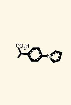 CC(C(=O)O)c1ccc(-n2cccc2)cc1